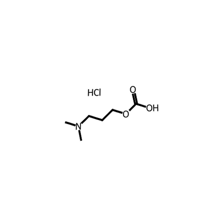 CN(C)CCCOC(=O)O.Cl